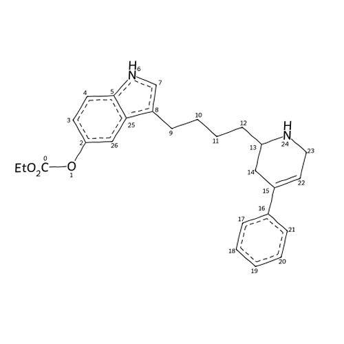 CCOC(=O)Oc1ccc2[nH]cc(CCCCC3CC(c4ccccc4)=CCN3)c2c1